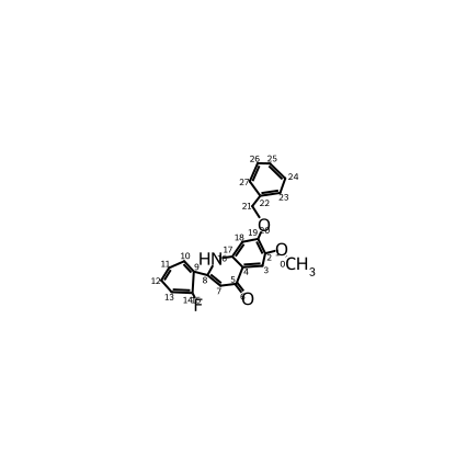 COc1cc2c(=O)cc(-c3ccccc3F)[nH]c2cc1OCc1ccccc1